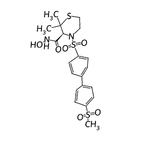 CC1(C)SCCN(S(=O)(=O)c2ccc(-c3ccc(S(C)(=O)=O)cc3)cc2)[C@H]1C(=O)NO